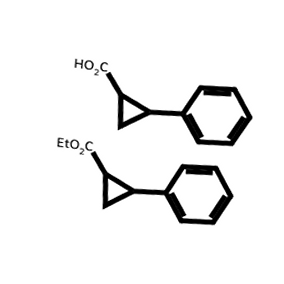 CCOC(=O)C1CC1c1ccccc1.O=C(O)C1CC1c1ccccc1